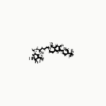 COC[C@@H](CCCn1ccc2cc(-c3ccc(C(F)(F)F)cn3)c(F)cc2c1=O)Nc1cn[nH]c(=O)c1C(F)(F)F